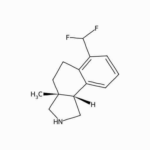 C[C@@]12CCc3c(C(F)F)cccc3[C@@H]1CNC2